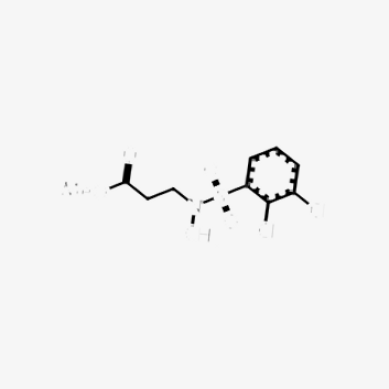 COC(=O)CCN(C)S(=O)(=O)c1cccc(Cl)c1Cl